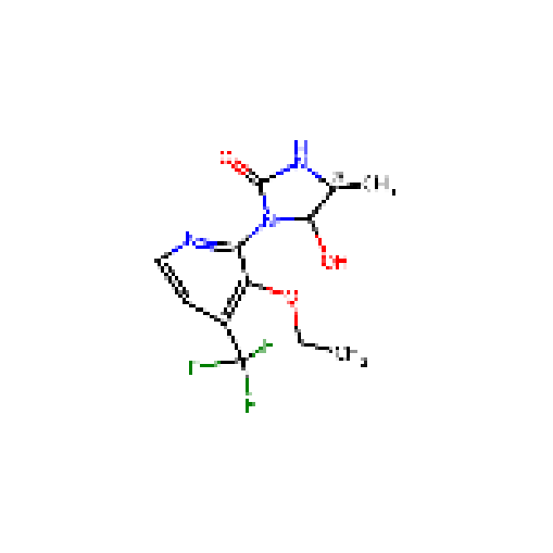 CCOc1c(C(F)(F)F)ccnc1N1C(=O)N[C@@H](C)C1O